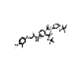 CC(C)(C)OC(=O)N1C[C@@H](NC(=O)COc2ccc(Cl)c(F)c2)CC[C@@H]1C(=O)NC1CCC(OC(F)(F)F)C1